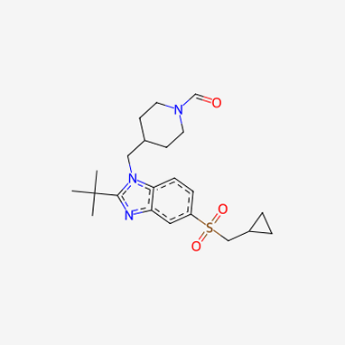 CC(C)(C)c1nc2cc(S(=O)(=O)CC3CC3)ccc2n1CC1CCN(C=O)CC1